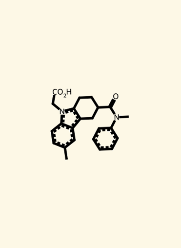 Cc1ccc2c(c1)c1c(n2CC(=O)O)CCC(C(=O)N(C)c2ccccc2)C1